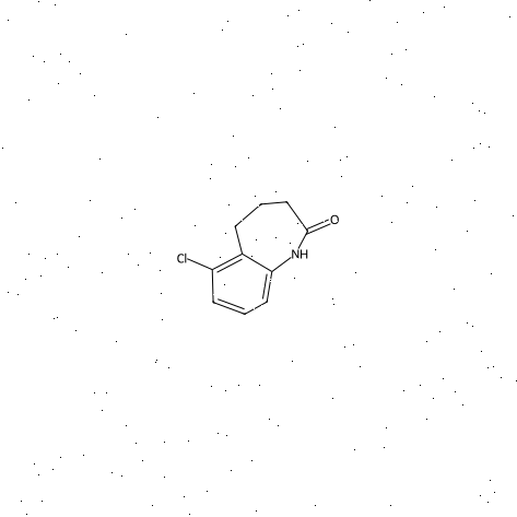 O=C1CCCc2c(Cl)cccc2N1